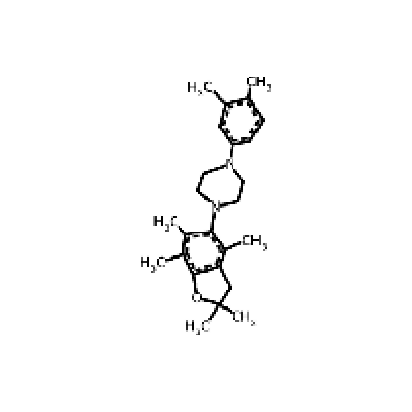 Cc1ccc(N2CCN(c3c(C)c(C)c4c(c3C)CC(C)(C)O4)CC2)cc1C